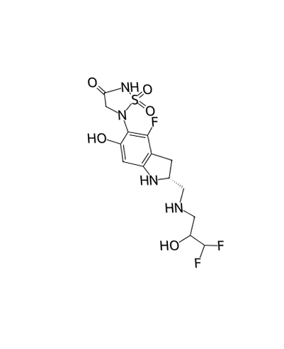 O=C1CN(c2c(O)cc3c(c2F)C[C@H](CNCC(O)C(F)F)N3)S(=O)(=O)N1